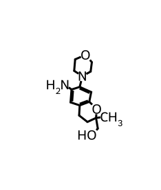 CC1(CO)CCc2cc(N)c(N3CCOCC3)cc2O1